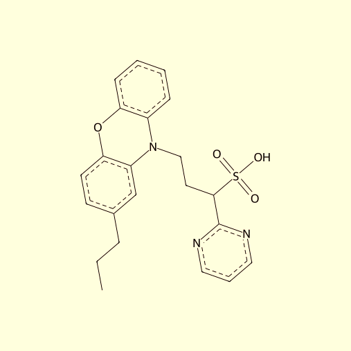 CCCc1ccc2c(c1)N(CCC(c1ncccn1)S(=O)(=O)O)c1ccccc1O2